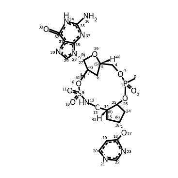 CP1(=O)OC[C@@H]2C[C@@H](OS(=O)(=O)NC[C@H]3C[C@@H](Oc4ccncn4)CC3O1)[C@H](n1cnc3c(=O)[nH]c(N)nc31)O2